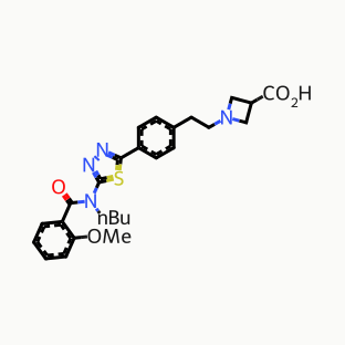 CCCCN(C(=O)c1ccccc1OC)c1nnc(-c2ccc(CCN3CC(C(=O)O)C3)cc2)s1